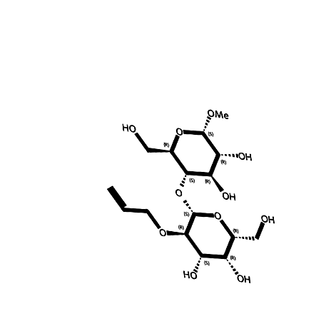 C=CCO[C@H]1[C@H](O[C@H]2[C@H](O)[C@@H](O)[C@@H](OC)O[C@@H]2CO)O[C@H](CO)[C@H](O)[C@@H]1O